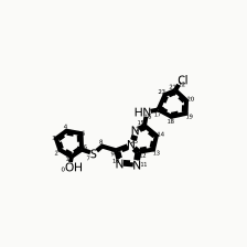 Oc1ccccc1SCc1nnc2ccc(Nc3cccc(Cl)c3)nn12